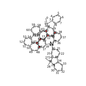 CC1(C)c2ccccc2-c2ccc(-c3ccccc3N(c3ccc4c(c3)C(C)(C)c3ccccc3-4)c3ccccc3-c3cccc(-c4cccc5cccc(-c6ccccc6)c45)c3)cc21